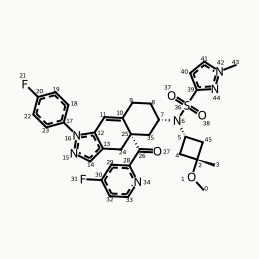 CO[C@]1(C)C[C@H](N([C@H]2CCC3=Cc4c(cnn4-c4ccc(F)cc4)C[C@]3(C(=O)c3cc(F)ccn3)C2)S(=O)(=O)c2ccn(C)n2)C1